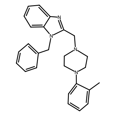 Cc1ccccc1N1CCN(Cc2nc3ccccc3n2Cc2ccccc2)CC1